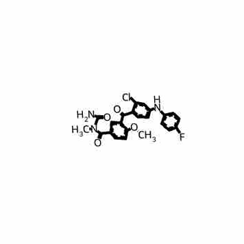 COc1ccc(C(=O)N(C)C(N)=O)cc1C(=O)c1ccc(Nc2ccc(F)cc2)cc1Cl